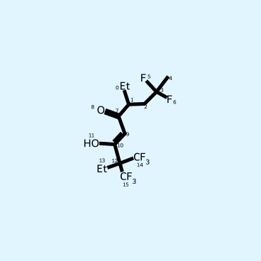 CCC(CC(C)(F)F)C(=O)/C=C(\O)C(CC)(C(F)(F)F)C(F)(F)F